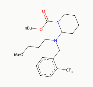 CCCCOC(=O)N1CCCCC1N(CCCOC)Cc1ccccc1C(F)(F)F